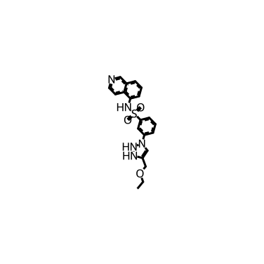 CCOCC1=CN(c2cccc(S(=O)(=O)Nc3cccc4cnccc34)c2)NN1